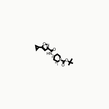 C[C@@H]1C[C@H](NC(=O)c2cc(C3CC3)on2)CCN1C(=O)OC(C)(C)C